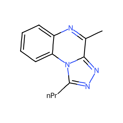 CCCc1nnc2c(C)nc3ccccc3n12